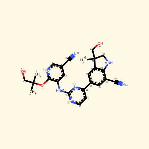 CC(C)(CO)Oc1ncc(C#N)cc1Nc1nccc(-c2cc(C#N)c3c(c2)C(C)(CO)CN3)n1